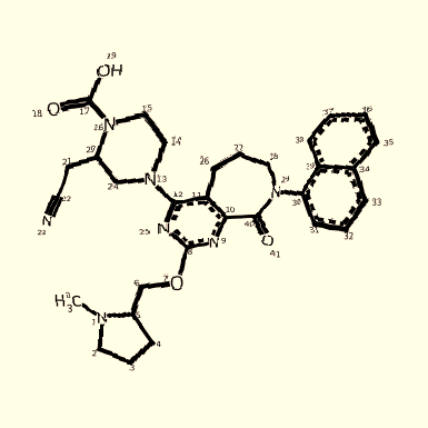 CN1CCCC1COc1nc2c(c(N3CCN(C(=O)O)C(CC#N)C3)n1)CCCN(c1cccc3ccccc13)C2=O